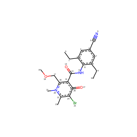 CCc1cc(C#N)cc(CC)c1NC(=O)c1c(COC)n(C)c(C)c(Br)c1=O